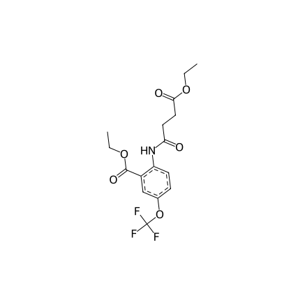 CCOC(=O)CCC(=O)Nc1ccc(OC(F)(F)F)cc1C(=O)OCC